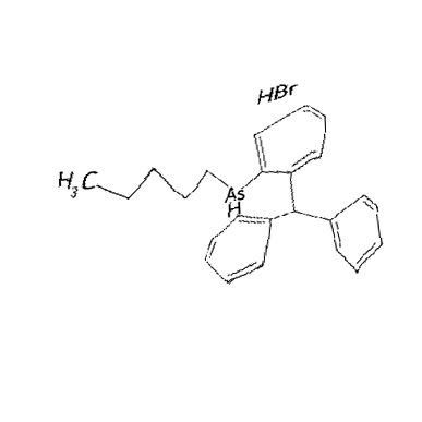 Br.CCCCC[AsH]c1ccccc1C(c1ccccc1)c1ccccc1